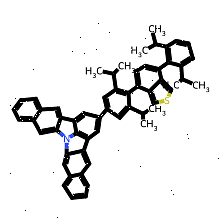 CC(C)c1cccc(C(C)C)c1-c1ccc(-c2c(C(C)C)cc(-c3cc4c5cc6ccccc6cc5n5c6cc7ccccc7cc6c(c3)c45)cc2C(C)C)c2cscc12